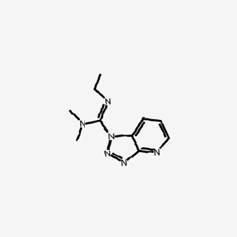 CCN=C(N(C)C)n1nnc2ncccc21